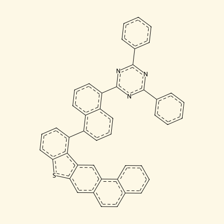 c1ccc(-c2nc(-c3ccccc3)nc(-c3cccc4c(-c5cccc6sc7cc8ccc9ccccc9c8cc7c56)cccc34)n2)cc1